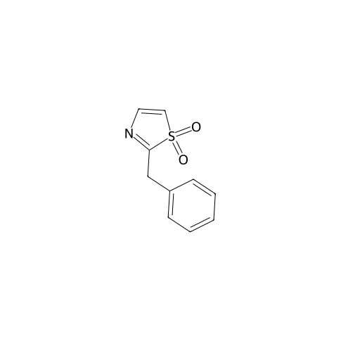 O=S1(=O)C=CN=C1Cc1ccccc1